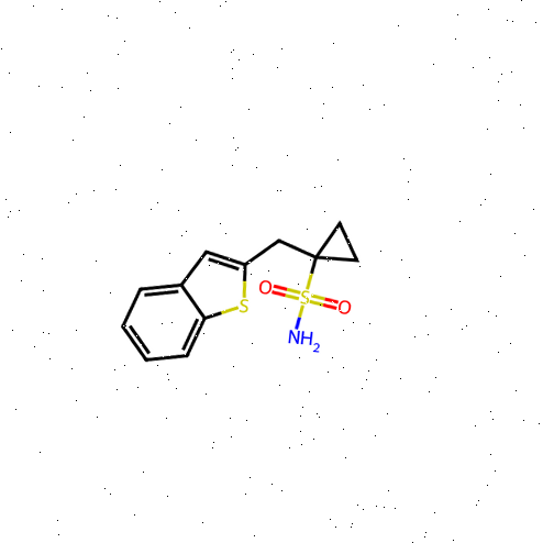 NS(=O)(=O)C1(Cc2cc3ccccc3s2)CC1